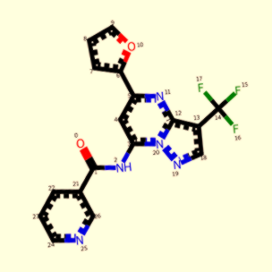 O=C(Nc1cc(-c2ccco2)nc2c(C(F)(F)F)cnn12)c1cccnc1